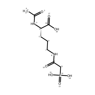 CC(=O)N[C@@H](CCCNC(=O)CP(=O)(O)O)C(=O)O